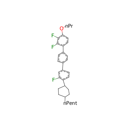 CCCCCC1CCC(c2ccc(-c3ccc(-c4ccc(OCCC)c(F)c4F)cc3)cc2F)CC1